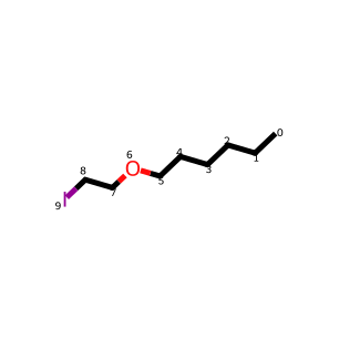 CCCCCCOCCI